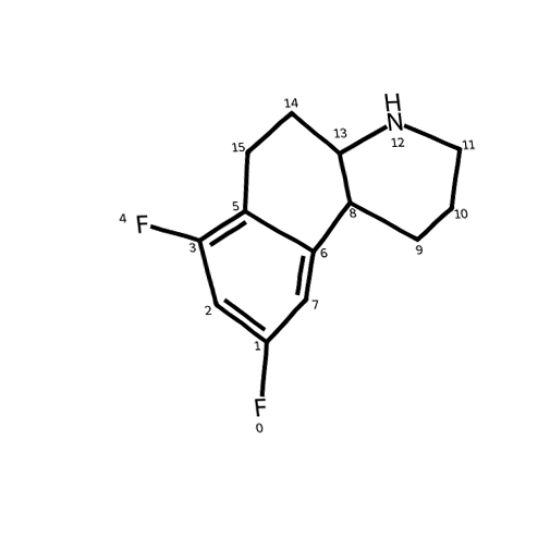 Fc1cc(F)c2c(c1)C1CCCNC1CC2